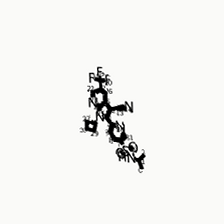 CC(C)NS(=O)(=O)c1ccc(-c2c(C#N)c3cc(C(F)(F)F)cnc3n2C2CCC2)nc1